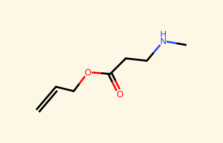 C=CCOC(=O)CCNC